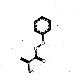 C=C(CCC)C(=O)OOc1ccccc1